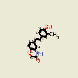 Cc1cc(C=Cc2ccc3c(c2)NC(=O)CO3)ccc1O